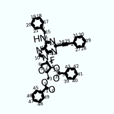 O=C(OC[C@H]1OC[C@@](F)(n2cnc3c(NCc4ccccc4)nc(C#Cc4ccccc4)nc32)[C@@H]1OC(=O)c1ccccc1)c1ccccc1